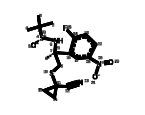 CC(C)(C)[S@@+]([O-])N[C@](C)(CSC1(C#N)CC1)c1cc([N+](=O)[O-])ccc1F